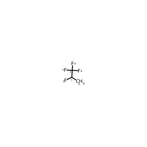 CC(F)C(F)(F)F